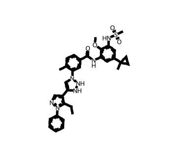 CCc1c(C2=CN(c3cc(C(=O)Nc4cc(C5(C)CC5)cc(NS(C)(=O)=O)c4OC)ccc3C)NN2)cnn1-c1ccccc1